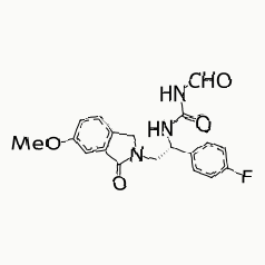 COc1ccc2c(c1)C(=O)N(C[C@H](NC(=O)NC=O)c1ccc(F)cc1)C2